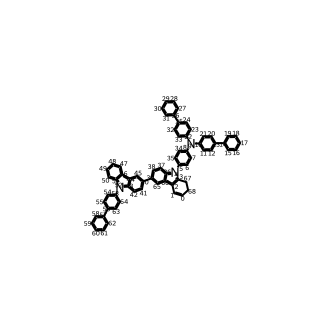 C1=Cc2c(n(-c3ccc(N(c4ccc(-c5ccccc5)cc4)c4ccc(-c5ccccc5)cc4)cc3)c3ccc(-c4ccc5c(c4)c4ccccc4n5-c4ccc(-c5ccccc5)cc4)cc23)CC1